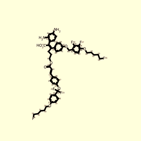 Nc1ccc(/C(C(=O)O)=C(/CCCOC(=O)/C=C/c2ccc(OC(F)(F)c3ccc(OCCCCCF)cc3)cc2)c2ccc(OCc3ccc(OCCCCCF)c(F)c3F)cc2)c(N)c1